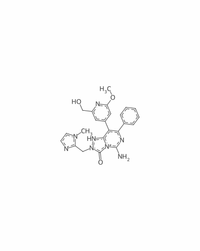 COc1cc(-c2c(-c3ccccc3)nc(N)[n+]3c(=O)n(Cc4nccn4C)[nH]c23)cc(CO)n1